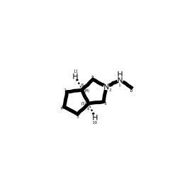 CNN1C[C@H]2CCC[C@H]2C1